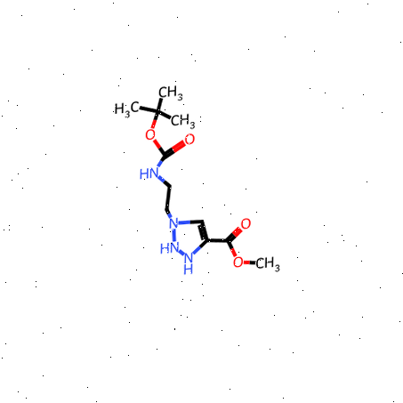 COC(=O)C1=CN(CCNC(=O)OC(C)(C)C)NN1